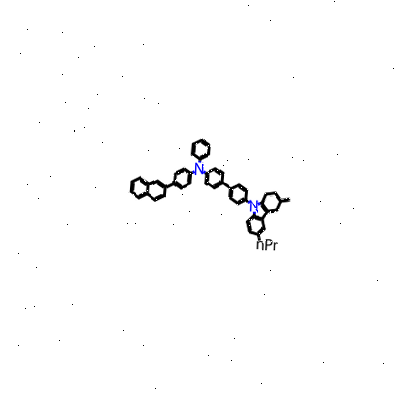 CCCc1ccc2c(c1)c1c(n2-c2ccc(-c3ccc(N(c4ccccc4)c4ccc(-c5ccc6ccccc6c5)cc4)cc3)cc2)CCC(C)C1